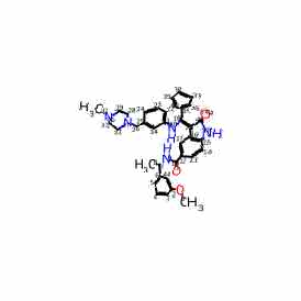 COc1cccc([C@@H](C)NC(=O)c2ccc3c(c2)C(=C(Nc2cccc(CN4CCN(C)CC4)c2)c2ccccc2)C(=O)N3)c1